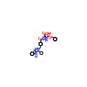 O=C(N[C@@H](CNC(=O)c1ccc(CNC(c2nc3ccccc3[nH]2)C2CCCC2)cc1)C(=O)O)OCc1ccccc1